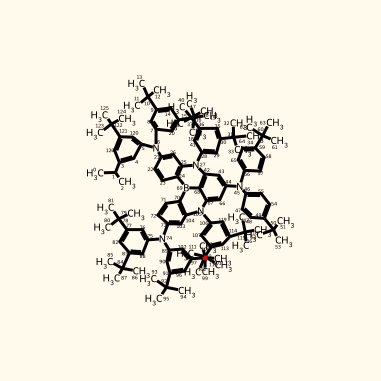 CC(C)c1cc(N(c2cc(C(C)(C)C)cc(C(C)(C)C)c2)c2ccc3c(c2)N(c2cc(C(C)(C)C)cc(C(C)(C)C)c2)c2cc(N(c4ccc(C(C)(C)C)cc4)c4ccc(C(C)(C)C)cc4)cc4c2B3c2ccc(N(c3cc(C(C)(C)C)cc(C(C)(C)C)c3)c3cc(C(C)(C)C)cc(C(C)(C)C)c3)cc2N4c2cc(C(C)(C)C)cc(C(C)(C)C)c2)cc(C(C)(C)C)c1